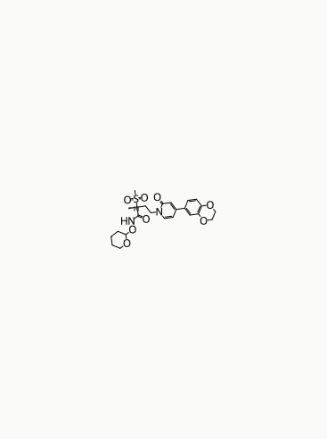 C[C@@](CCn1ccc(-c2ccc3c(c2)OCCO3)cc1=O)(C(=O)NOC1CCCCO1)S(C)(=O)=O